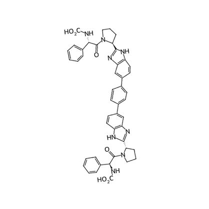 O=C(O)N[C@H](C(=O)N1CCC[C@H]1c1nc2cc(-c3ccc(-c4ccc5[nH]c([C@@H]6CCCN6C(=O)[C@@H](NC(=O)O)c6ccccc6)nc5c4)cc3)ccc2[nH]1)c1ccccc1